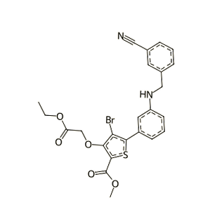 CCOC(=O)COc1c(C(=O)OC)sc(-c2cccc(NCc3cccc(C#N)c3)c2)c1Br